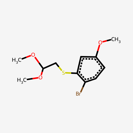 COc1ccc(Br)c(SCC(OC)OC)c1